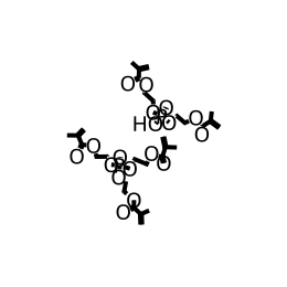 C=C(C)C(=O)OCCOP(=O)(O)OCCOC(=O)C(=C)C.C=C(C)C(=O)OCCOP(=O)(OCCOC(=O)C(=C)C)OCCOC(=O)C(=C)C